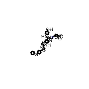 O=C(Nc1cc2nc(/C=C/c3ccc([N+](=O)[O-])o3)nc(Nc3ccc(O)cc3)c2cc1F)c1coc(-c2ccc(Oc3ccccc3)cc2)n1